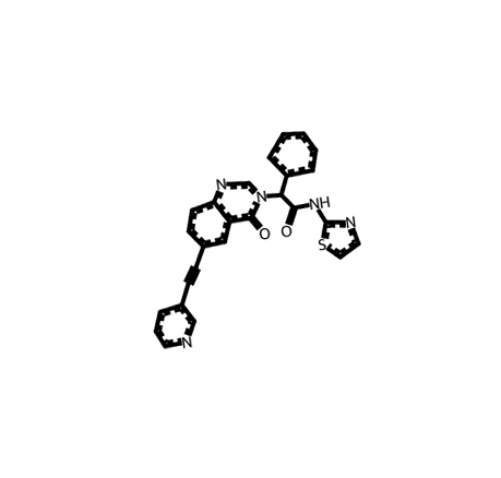 O=C(Nc1nccs1)C(c1ccccc1)n1cnc2ccc(C#Cc3cccnc3)cc2c1=O